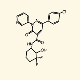 O=C(NC1CCCC(F)(F)C1O)c1cc(-c2ccc(Cl)cc2)nn(-c2cccnc2)c1=O